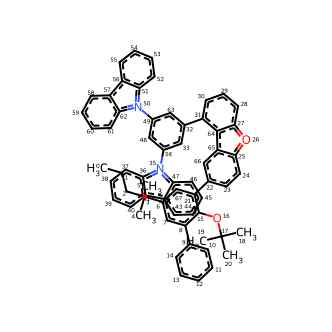 CCCC(C)(C)c1cc(-c2ccccc2)c(OC(C)(C)C)c(-c2ccc3oc4cccc(-c5cc(-n6c7ccccc7c7ccccc76)cc(-n6c7ccccc7c7ccccc76)c5)c4c3c2)c1